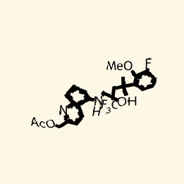 COc1c(F)cccc1C(C)(C)C[C@](O)(CNc1cccc2nc(COC(C)=O)ccc12)C(F)(F)F